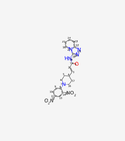 O=C(C=CC1CCN(c2ccc([N+](=O)[O-])cc2[N+](=O)[O-])CC1)Nc1nnc2ccccn12